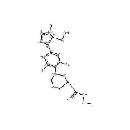 CCOC(=O)CC1CCCN(c2c(F)cc(-c3nnn(C)c3CO)nc2C)C1